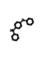 c1ccc(Nc2ccc(Oc3ccccc3)cc2)cc1